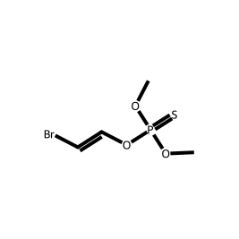 COP(=S)(OC)OC=CBr